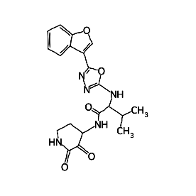 CC(C)C(Nc1nnc(-c2coc3ccccc23)o1)C(=O)NC1CCNC(=O)C1=O